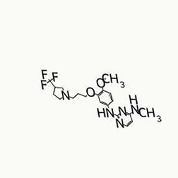 CNc1ccnc(Nc2ccc(OC)c(OCCCN3CCC(C(F)(F)F)C3)c2)n1